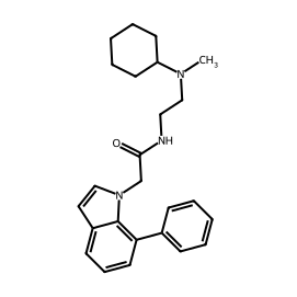 CN(CCNC(=O)Cn1ccc2cccc(-c3ccccc3)c21)C1CCCCC1